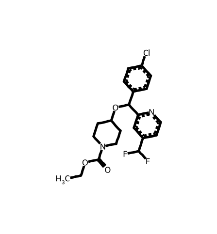 CCOC(=O)N1CCC(OC(c2ccc(Cl)cc2)c2cc(C(F)F)ccn2)CC1